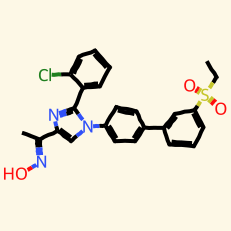 CCS(=O)(=O)c1cccc(-c2ccc(-n3cc(C(C)=NO)nc3-c3ccccc3Cl)cc2)c1